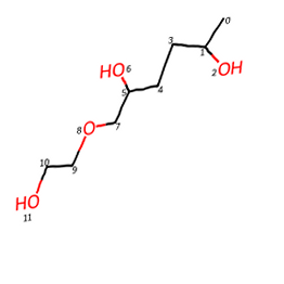 CC(O)CCC(O)COCCO